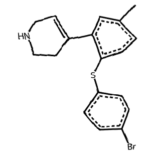 Cc1ccc(Sc2ccc(Br)cc2)c(C2=CCNCC2)c1